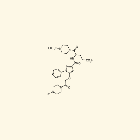 CCOC(=O)N1CCN(C(=O)C(CCC(=O)O)NC(=O)c2cc(OCC(=O)N3CCN(CC)CC3)n(-c3ccccc3)n2)CC1